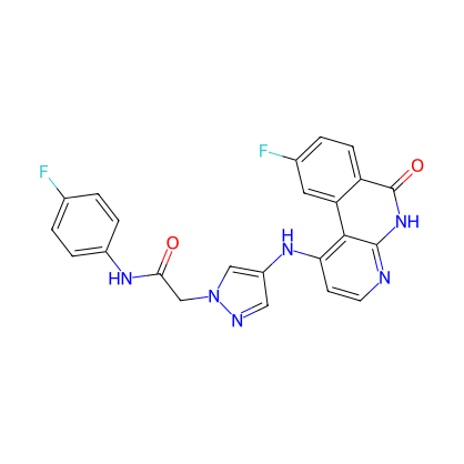 O=C(Cn1cc(Nc2ccnc3[nH]c(=O)c4ccc(F)cc4c23)cn1)Nc1ccc(F)cc1